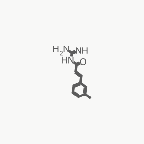 Cc1cccc(/C=C/C(=O)NC(=N)N)c1